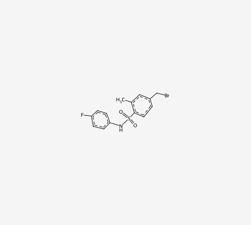 Cc1cc(CBr)ccc1S(=O)(=O)Nc1ccc(F)cc1